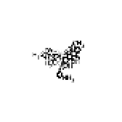 COc1cccc2c1C(=O)c1c(O)c3c(c(O)c1C2=O)C[C@@](O)(C(=O)NCc1cccc(N)c1)C[C@@H]3O[C@H]1C[C@H]2[C@H](O[C@@H]3[C@@H](OC)OCCN32)[C@H](C)O1